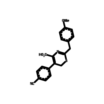 COc1ccc(CC2=NC(C(=O)O)=C(c3ccc(C#N)cc3)CS2)cc1